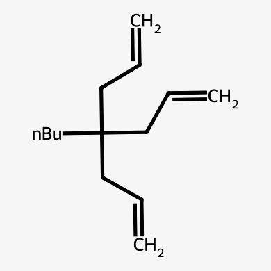 C=CCC(CC=C)(CC=C)CCCC